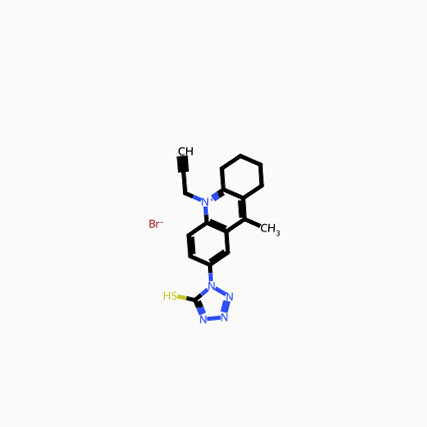 C#CC[n+]1c2c(c(C)c3cc(-n4nnnc4S)ccc31)CCCC2.[Br-]